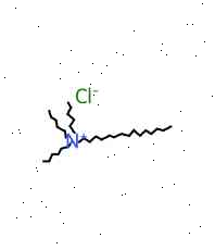 CCCCCCCCCCCCCCCC[N+](CCCCCC)(CCCCCC)CCCCCC.[Cl-]